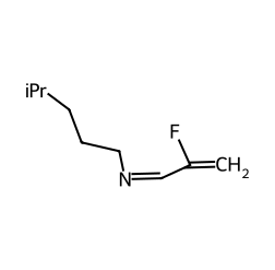 C=C(F)/C=N\CCCC(C)C